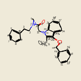 CN(CCc1ccccc1)C(=O)Cn1c(C=O)c(OCc2ccccc2)c2ccccc21